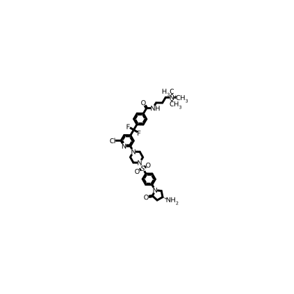 C[N+](C)(C)CCCNC(=O)c1ccc(C(F)(F)c2cc(Cl)nc(N3CCN(S(=O)(=O)c4ccc(N5C[C@H](N)CC5=O)cc4)CC3)c2)cc1